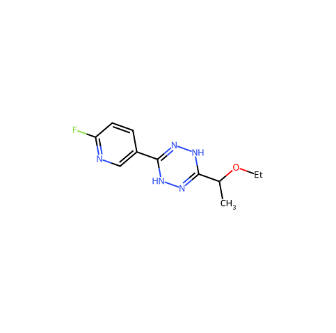 CCOC(C)C1=NNC(c2ccc(F)nc2)=NN1